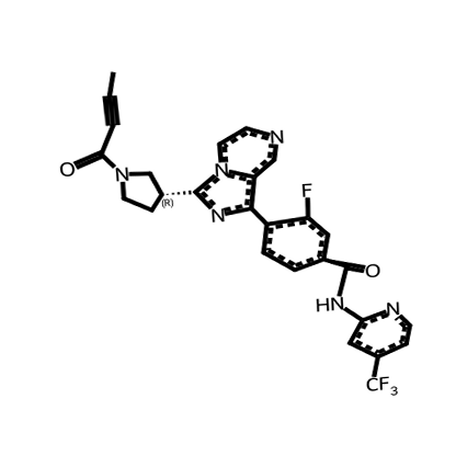 CC#CC(=O)N1CC[C@@H](c2nc(-c3ccc(C(=O)Nc4cc(C(F)(F)F)ccn4)cc3F)c3cnccn23)C1